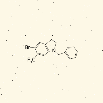 FC(F)(F)c1cc2c(cc1Br)CCN2Cc1ccccc1